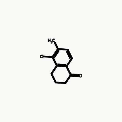 Cc1ccc2c(c1Cl)CCCC2=O